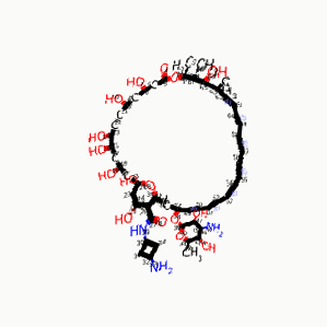 C[C@@H]1OC(=O)CC(O)CC(O)CCC(O)C(O)CC(O)CC2(O)C[C@H](O)C(C(=O)N[C@H]3C[C@H](N)C3)[C@H](CC(O[C@@H]3O[C@H](C)C(O)[C@H](N)[C@@H]3O)/C=C/C=C/C=C/C=C/C=C/C=C/C=C/[C@H](C)C(O)[C@H]1C)O2